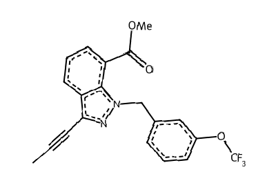 CC#Cc1nn(Cc2cccc(OC(F)(F)F)c2)c2c(C(=O)OC)cccc12